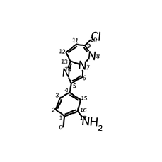 Cc1ccc(-c2cn3nc(Cl)ccc3n2)cc1N